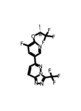 C[C@@H](Oc1ncc(-c2ccc3nnc(C(F)(F)F)n3n2)cc1F)C(F)(F)F